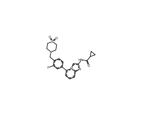 O=C(Nc1cn2c(-c3ccc(CN4CCS(=O)(=O)CC4)c(F)c3)cccc2n1)C1CC1